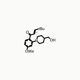 COc1ccc(C(=O)/C=C/C(C)(C)C)c(N2CCC(CO)CC2)c1